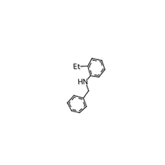 CCc1ccccc1NCc1ccccc1